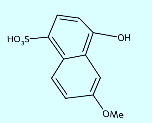 COc1ccc2c(S(=O)(=O)O)ccc(O)c2c1